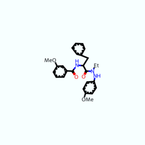 CCN(Nc1ccc(OC)cc1)C(=O)C(Cc1ccccc1)NC(=O)c1cccc(OC)c1